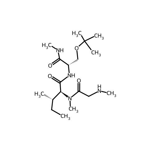 CC[C@H](C)[C@@H](C(=O)N[C@@H](COC(C)(C)C)C(=O)NC)N(C)C(=O)CNC